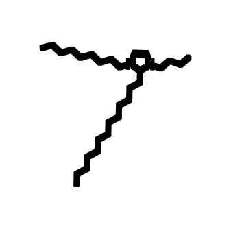 CCCCCCCCCCCCCC1N(CCCC)C=CN1CCCCCCCCC